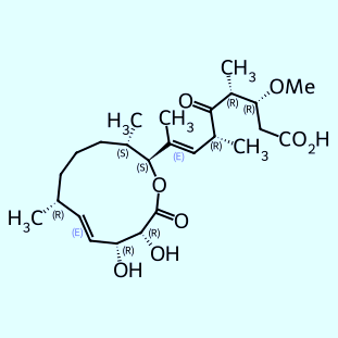 CO[C@H](CC(=O)O)[C@@H](C)C(=O)[C@H](C)/C=C(\C)[C@H]1OC(=O)[C@H](O)[C@H](O)/C=C/[C@H](C)CCC[C@@H]1C